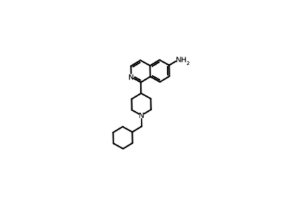 Nc1ccc2c(C3CCN(CC4CCCCC4)CC3)nccc2c1